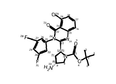 CC(C)(C)OC(=O)N1C[C@H](N)C[C@H]1c1nc2cccc(Cl)c2c(=O)n1-c1cc(F)cc(F)c1